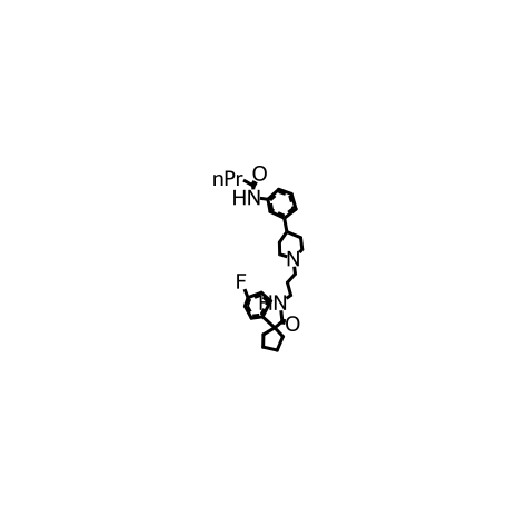 CCCC(=O)Nc1cccc(C2CCN(CCCNC(=O)C3(c4ccc(F)cc4)CCCC3)CC2)c1